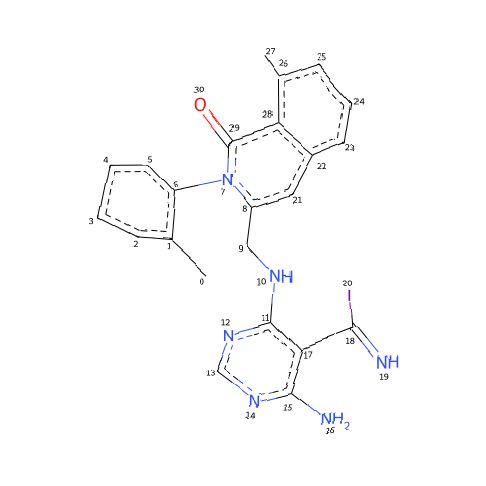 Cc1ccccc1-n1c(CNc2ncnc(N)c2C(=N)I)cc2cccc(C)c2c1=O